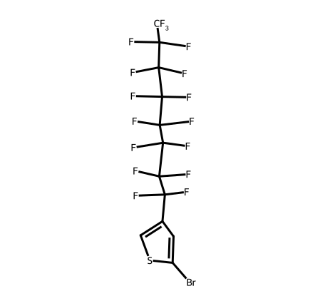 FC(F)(F)C(F)(F)C(F)(F)C(F)(F)C(F)(F)C(F)(F)C(F)(F)C(F)(F)c1csc(Br)c1